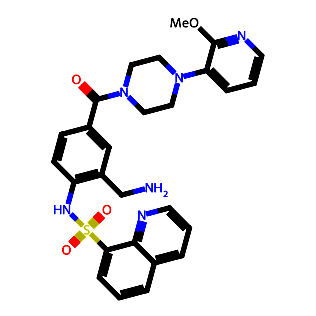 COc1ncccc1N1CCN(C(=O)c2ccc(NS(=O)(=O)c3cccc4cccnc34)c(CN)c2)CC1